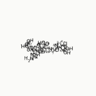 CCCN(C[C@@H]1CCCN1CC1=C(C(=O)O)N2C(=O)[C@@H](NC(=O)/C(=N\O[C@@H](CC(=O)O)C(=O)O)c3csc(N)n3)[C@H]2S[C@H]1C)C(=O)c1cc(O)c(O)c(Cl)c1